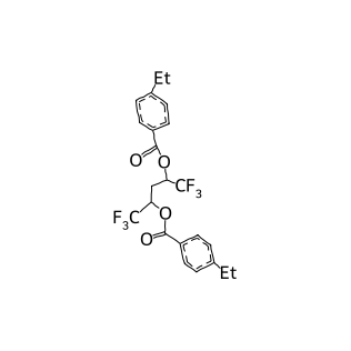 CCc1ccc(C(=O)OC(CC(OC(=O)c2ccc(CC)cc2)C(F)(F)F)C(F)(F)F)cc1